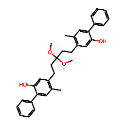 COC(CCc1cc(O)c(-c2ccccc2)cc1C)(CCc1cc(O)c(-c2ccccc2)cc1C)OC